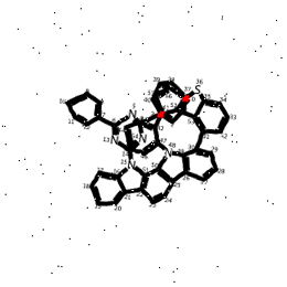 c1ccc(-c2nc(-c3ccccc3)nc(-n3c4ccccc4c4ccc5c6cccc7c8cccc9sc%10cccc(c%11ccccc%11n(c76)c5c43)c%10c98)n2)cc1